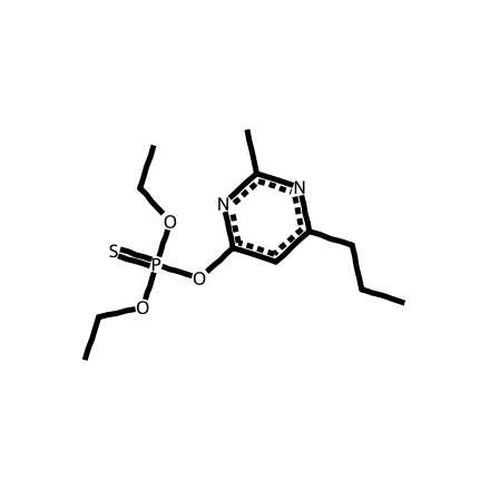 CCCc1cc(OP(=S)(OCC)OCC)nc(C)n1